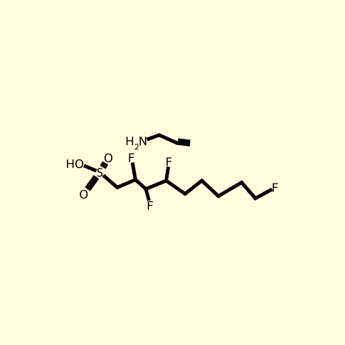 C=CCN.O=S(=O)(O)CC(F)C(F)C(F)CCCCCF